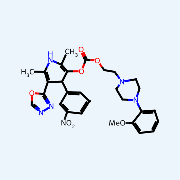 COc1ccccc1N1CCN(CCOC(=O)OC2=C(C)NC(C)=C(c3nnco3)C2c2cccc([N+](=O)[O-])c2)CC1